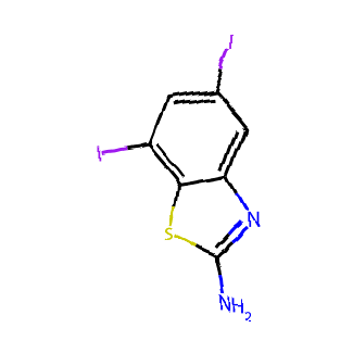 Nc1nc2cc(I)cc(I)c2s1